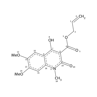 C=CCOC(=O)c1c(O)c2cc(OC)c(OC)cc2n(C)c1=O